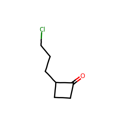 O=C1CCC1CCCCl